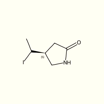 CC(I)[C@@H]1CNC(=O)C1